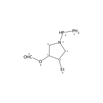 CCC1CN(PP)CC1OC=O